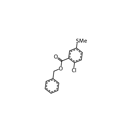 CSc1ccc(Cl)c(C(=O)OCc2ccccc2)c1